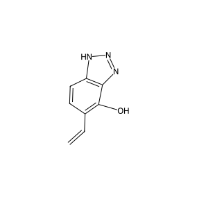 C=Cc1ccc2[nH]nnc2c1O